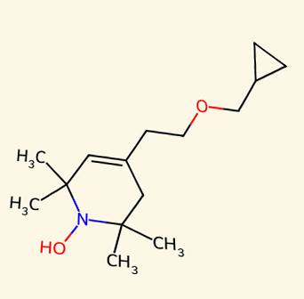 CC1(C)C=C(CCOCC2CC2)CC(C)(C)N1O